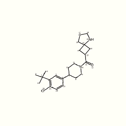 CC(C)(C)c1cc(C2CCN(C(=O)C3CC4(COCN4)C3)CC2)ccc1Cl